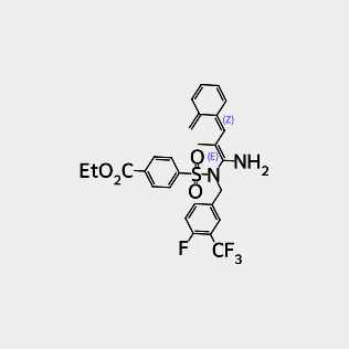 C=c1cccc/c1=C/C(C)=C(\N)N(Cc1ccc(F)c(C(F)(F)F)c1)S(=O)(=O)c1ccc(C(=O)OCC)cc1